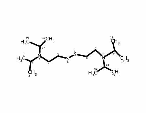 CC(C)N(CCSSCCN(C(C)C)C(C)C)C(C)C